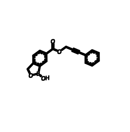 O=C(OCC#Cc1ccccc1)c1ccc2c(c1)B(O)OC2